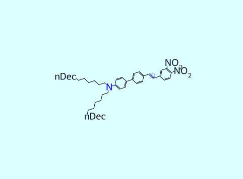 CCCCCCCCCCCCCCCCN(CCCCCCCCCCCCCCCC)c1ccc(-c2ccc(/C=C/c3ccc([N+](=O)[O-])c([N+](=O)[O-])c3)cc2)cc1